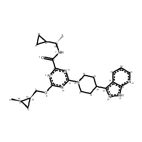 C[C@H](NC(=O)c1nc(OC[C@H]2C[C@H]2C)nc(N2CCC(c3n[nH]c4ncccc34)CC2)n1)C1CC1